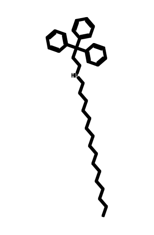 CCCCCCCCCCCCCCCCPCCC(c1ccccc1)(c1ccccc1)c1ccccc1